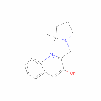 CC1(C)CCCN1Cc1nc2ccccc2cc1O